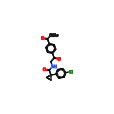 COC(=O)c1ccc(C(=O)CNC(=O)C2(c3ccc(Cl)cc3)CC2)cc1